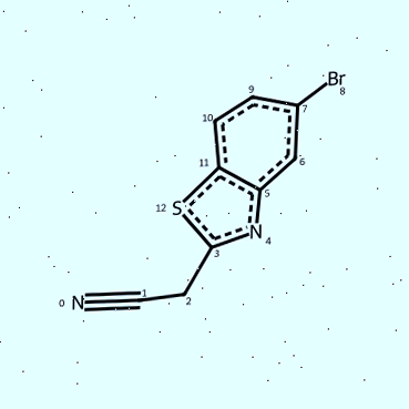 N#CCc1nc2cc(Br)ccc2s1